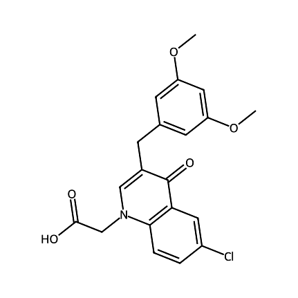 COc1cc(Cc2cn(CC(=O)O)c3ccc(Cl)cc3c2=O)cc(OC)c1